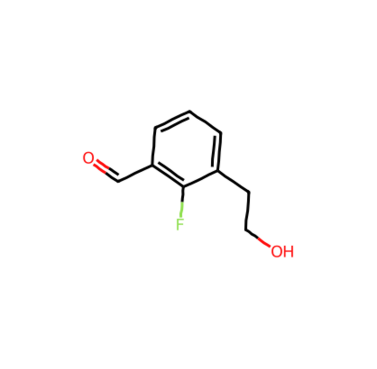 O=Cc1cccc(CCO)c1F